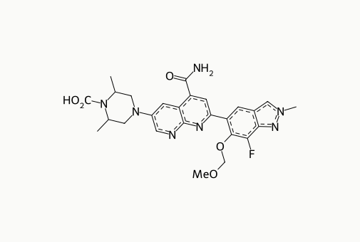 COCOc1c(-c2cc(C(N)=O)c3cc(N4CC(C)N(C(=O)O)C(C)C4)cnc3n2)cc2cn(C)nc2c1F